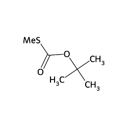 [CH2]SC(=O)OC(C)(C)C